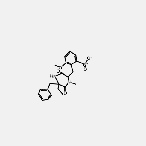 CCC1(Cc2ccccc2)NC(=O)C(Cc2c(OC)cccc2[N+](=O)[O-])N(C)C1=O